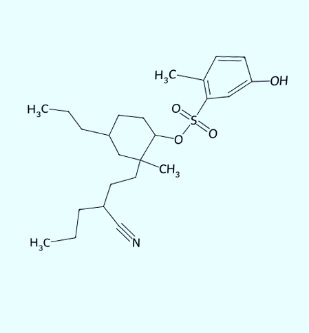 CCCC(C#N)CCC1(C)CC(CCC)CCC1OS(=O)(=O)c1cc(O)ccc1C